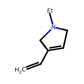 C=CC1=CCN(CC)C1